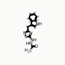 CC(=O)NNc1nc(Cc2c[nH]c3ccccc23)ns1